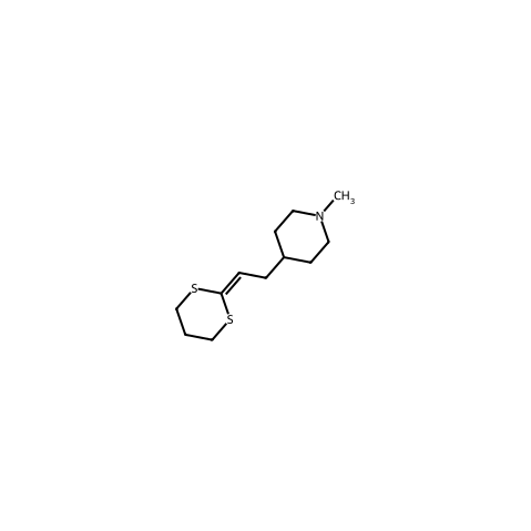 CN1CCC(CC=C2SCCCS2)CC1